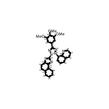 COc1cc(-c2nn(-c3cccc4cccnc34)[n+](-c3nc4c(ccc5ccccc54)s3)n2)cc(OC)c1OC